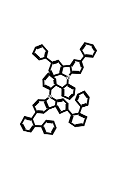 c1ccc(-c2ccc3c(c2)c2cc(-c4ccccc4)ccc2n3-c2ccccc2-c2ccccc2-n2c3ccc(-c4ccccc4-c4ccccc4)cc3c3cc(-c4ccccc4-c4ccccc4)ccc32)cc1